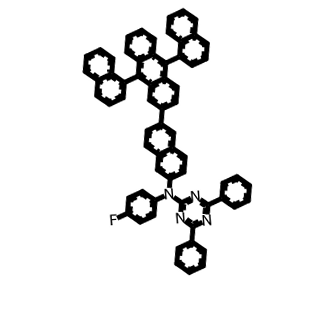 Fc1ccc(N(c2ccc3cc(-c4ccc5c(-c6cccc7ccccc67)c6ccccc6c(-c6cccc7ccccc67)c5c4)ccc3c2)c2nc(-c3ccccc3)nc(-c3ccccc3)n2)cc1